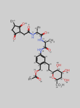 CCC1CC(=O)C(CC(=O)N[C@H](C(=O)N[C@@H](C)C(=O)Nc2ccc(COC(=O)C(C)C)c(CC[C@@H]3O[C@H](C(=O)O)[C@@H](O)[C@H](O)[C@H]3O)c2)C(C)C)C1=O